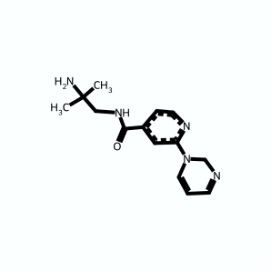 CC(C)(N)CNC(=O)c1ccnc(N2C=CC=NC2)c1